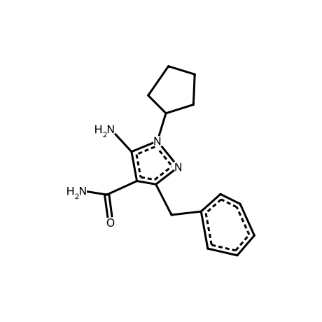 NC(=O)c1c(Cc2ccccc2)nn(C2CCCC2)c1N